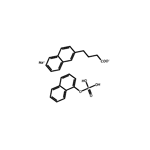 O=C([O-])CCCc1ccc2ccccc2c1.O=P(O)(O)Oc1cccc2ccccc12.[Na+]